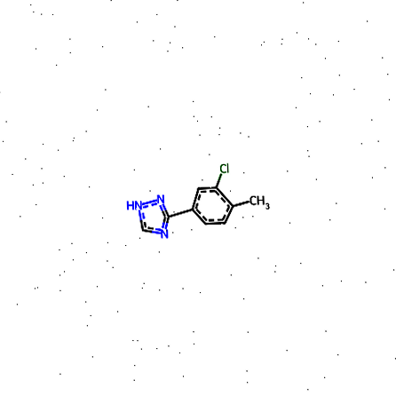 Cc1ccc(-c2nc[nH]n2)cc1Cl